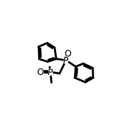 CP(C)(=O)CP(=O)(c1ccccc1)c1ccccc1